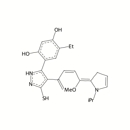 C=C(/C=C\C(OC)=C1/CC=CN1C(C)C)c1c(S)n[nH]c1-c1cc(CC)c(O)cc1O